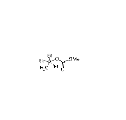 CCP(C)(CC)(CC)OC(=O)OC